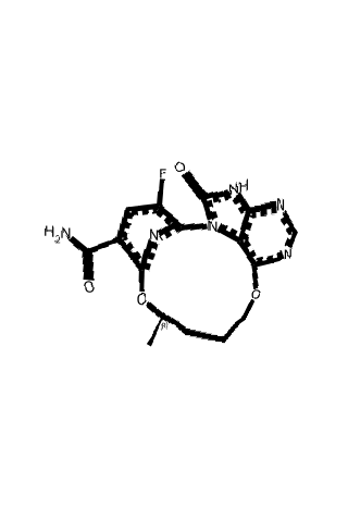 C[C@@H]1CCCOc2ncnc3[nH]c(=O)n(c23)-c2nc(c(C(N)=O)cc2F)O1